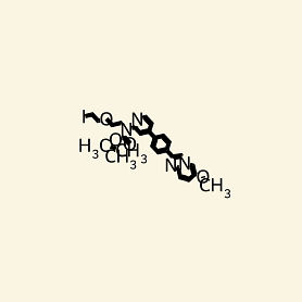 COc1ccc2nc(-c3ccc(-c4ccnc(N(CCOCCI)C(=O)OC(C)(C)C)c4)cc3)cn2c1